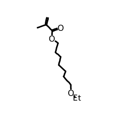 C=C(C)C(=O)OCCCCCCCOCC